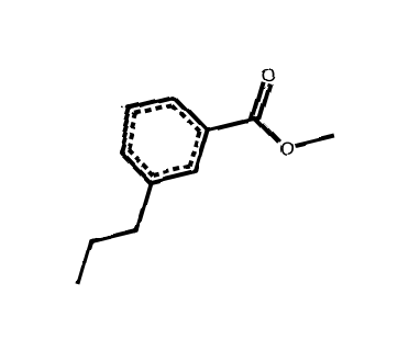 CCCc1c[c]cc(C(=O)OC)c1